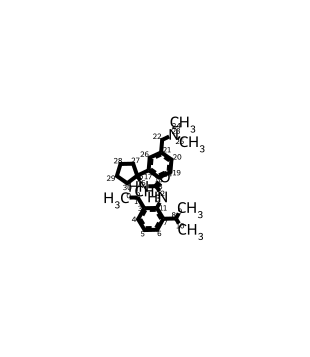 CC(C)c1cccc(C(C)C)c1NC(=O)NC1(c2cccc(CN(C)C)c2)CCCC1